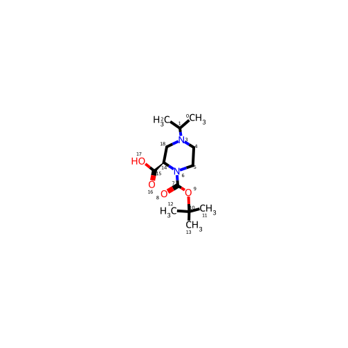 CC(C)N1CCN(C(=O)OC(C)(C)C)[C@@H](C(=O)O)C1